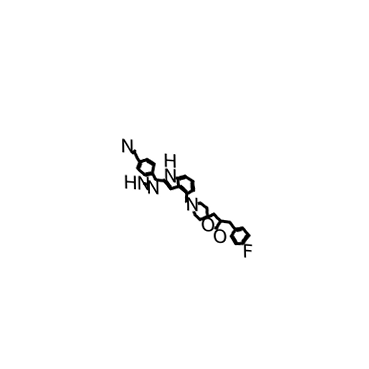 N#Cc1ccc2c(-c3cc4c(CN5CCC6(CC5)CC(Cc5ccc(F)cc5)C(=O)O6)cccc4[nH]3)n[nH]c2c1